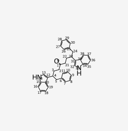 O=C(CCC(Cc1ccccc1)c1c[nH]c2ccccc12)CCC(Cc1ccccc1)c1c[nH]c2ccccc12